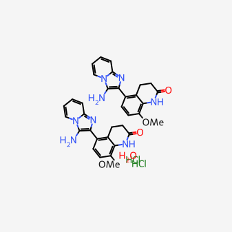 COc1ccc(-c2nc3ccccn3c2N)c2c1NC(=O)CC2.COc1ccc(-c2nc3ccccn3c2N)c2c1NC(=O)CC2.Cl.Cl.O